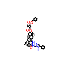 C=C(C)[C@@H]1CC[C@]2(C(=O)NCc3ncc(-c4ccccc4)[nH]3)CC[C@]3(C)[C@H](CC[C@@H]4[C@@]5(C)CC[C@H](OC(=O)[C@H]6C[C@@H](C(=O)OCc7ccccc7)C6(C)C)C(C)(C)[C@@H]5CC[C@]43C)[C@@H]12